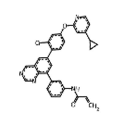 C=CC(=O)Nc1cccc(-c2cc(-c3ccc(Oc4cc(C5CC5)ccn4)cc3Cl)cc3cncnc23)c1